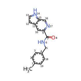 Cc1ccc(CNC(=O)c2cc3cc[nH]c3cn2)cc1